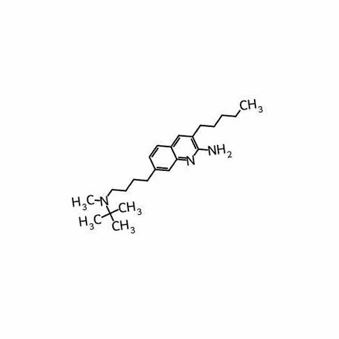 CCCCCc1cc2ccc(CCCCN(C)C(C)(C)C)cc2nc1N